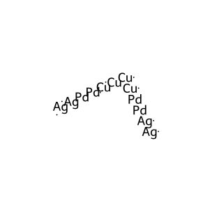 [Ag].[Ag].[Ag].[Ag].[Cu].[Cu].[Cu].[Cu].[Pd].[Pd].[Pd].[Pd]